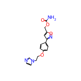 NC(=O)OCc1cc(-c2ccc(OCCn3ccnc3)cc2)no1